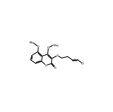 CC/C=C/CCOc1c(OCCCCCCCCCC)c2c(OC(C)(C)C)cccc2oc1=O